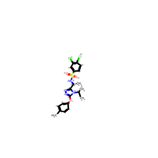 Cc1ccc(Oc2nnc([C@@H](C)NS(=O)(=O)c3ccc(Cl)c(Cl)c3)n2C(C)C)cc1